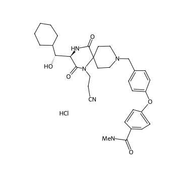 CNC(=O)c1ccc(Oc2ccc(CN3CCC4(CC3)C(=O)N[C@H]([C@H](O)C3CCCCC3)C(=O)N4CCC#N)cc2)cc1.Cl